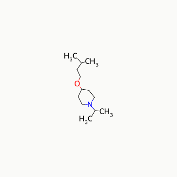 CC(C)CCOC1CCN(C(C)C)CC1